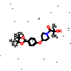 CC(C)(O)C(=O)N1CCC(Oc2ccc(B3OC(C)(C)C(C)(C)O3)cc2)CC1